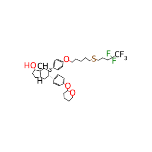 C[C@]12C[C@H](c3ccc(OCCCCCSCCCC(F)(F)C(F)(F)F)cc3)[C@H](c3ccc(OC4CCCCO4)cc3)C[C@@H]1CC[C@@H]2O